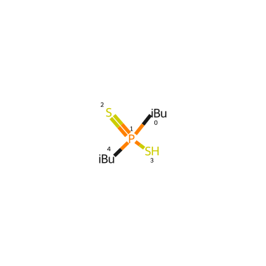 CCC(C)P(=S)(S)C(C)CC